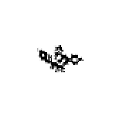 CN1CCN(c2cc(N3CCCOC3=O)c3nc(C(=O)NCc4ccc(F)cc4)c(O)c(=O)n3c2)CC1